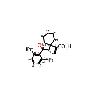 C=C(C(=O)O)C1(CC(=O)c2c(C(C)C)cccc2C(C)C)CCCCC1